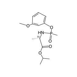 COc1cccc(OP(C)(=O)N[C@@H](C)C(=O)OC(C)C)c1